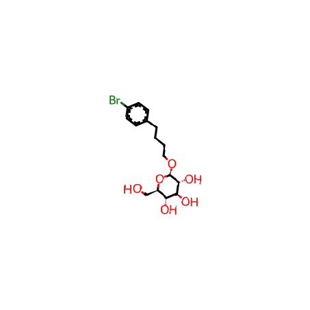 OC[C@H]1O[C@@H](OCCCCc2ccc(Br)cc2)[C@H](O)[C@@H](O)[C@@H]1O